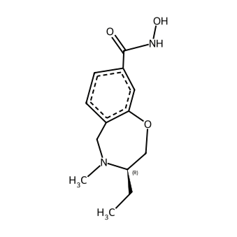 CC[C@@H]1COc2cc(C(=O)NO)ccc2CN1C